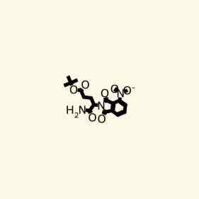 CC(C)(C)OC(=O)CCC(C(N)=O)N1C(=O)c2cccc([N+](=O)[O-])c2C1=O